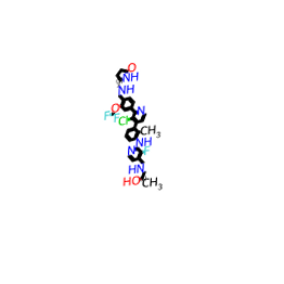 Cc1c(Nc2nccc(CNC[C@H](C)O)c2F)cccc1-c1ccnc(-c2ccc(CNC[C@@H]3CCC(=O)N3)c(OC(F)F)c2)c1Cl